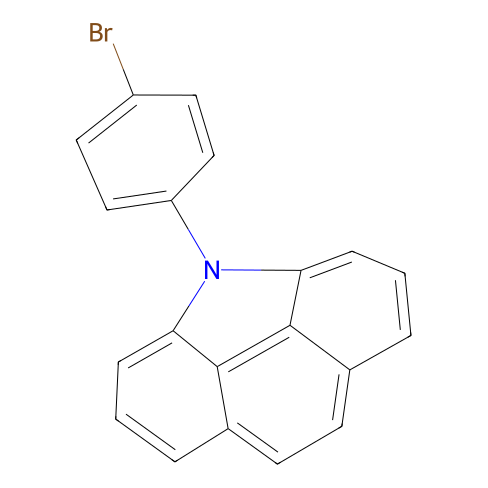 Brc1ccc(-n2c3cccc4ccc5cccc2c5c43)cc1